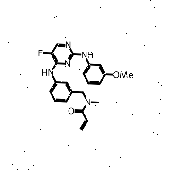 C=CC(=O)N(C)Cc1cccc(Nc2nc(Nc3cccc(OC)c3)ncc2F)c1